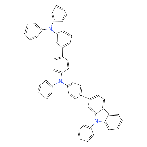 c1ccc(N(c2ccc(-c3ccc4c5ccccc5n(-c5ccccc5)c4c3)cc2)c2ccc(-c3ccc4c5ccccc5n(-c5ccccc5)c4c3)cc2)cc1